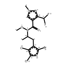 CON(C(=O)c1cn(C)nc1C(F)F)C(C)Cc1c(Br)sc(Cl)c1Cl